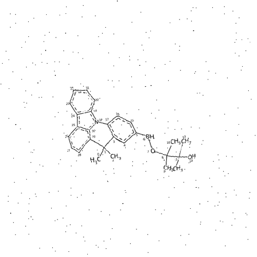 CC1(C)c2cc(BOC(C)(C)C(C)(C)O)ccc2-n2c3ccccc3c3cccc1c32